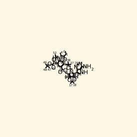 CCC(CC)O[C@@H]1C=C(C(=O)OC[C@@H]2[C@H]3OC(C)(C)O[C@H]3[C@H](c3c[nH]c4c(N)ncnc34)N2COC(C)(C)C)C[C@H](NC(=O)OC(C)(C)C)[C@H]1NC(C)=O